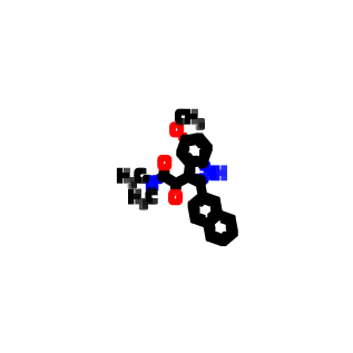 COc1ccc2[nH]c(-c3ccc4ccccc4c3)c(C(=O)C(=O)N(C)C)c2c1